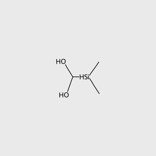 C[SiH](C)C(O)O